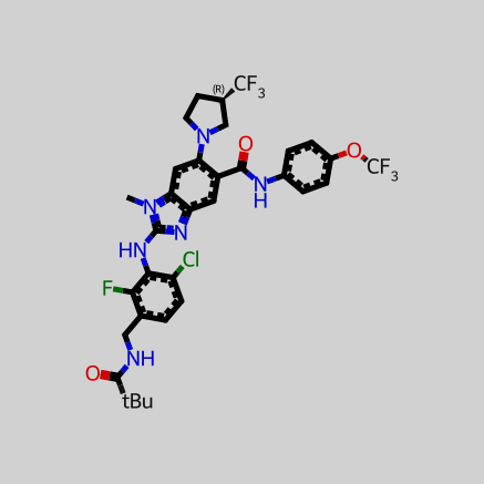 Cn1c(Nc2c(Cl)ccc(CNC(=O)C(C)(C)C)c2F)nc2cc(C(=O)Nc3ccc(OC(F)(F)F)cc3)c(N3CC[C@@H](C(F)(F)F)C3)cc21